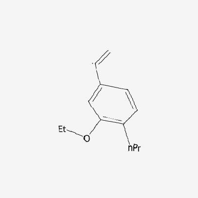 C=[C]c1ccc(CCC)c(OCC)c1